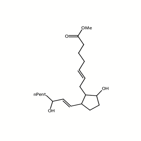 CCCCCC(O)C=CC1CCC(O)C1CC=CCCCC(=O)OC